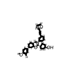 COc1ccc([C@H]2CC[C@H](CN(c3cccc(C#Cc4ncco4)c3)C(=O)[C@H]3CC[C@H](O)CC3)CC2)cc1C